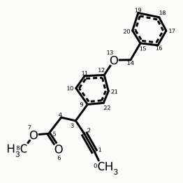 CC#CC(CC(=O)OC)c1ccc(OCc2ccccc2)cc1